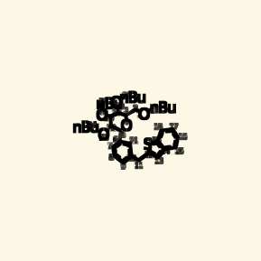 CCCCOC[C@H]1O[C@@H](c2cccc(Cc3cc4ccccc4s3)c2)[C@H](OCCCC)[C@@H](OCCCC)[C@@H]1OCCCC